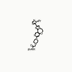 CC(C)NC(=O)CN1CCN(c2cc3c(cn2)-c2nc(-c4ncnn4C(C)C)cn2CCO3)CC1